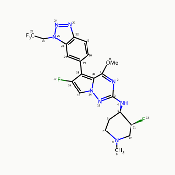 COc1nc(N[C@@H]2CCN(C)C[C@@H]2F)nn2cc(F)c(-c3ccc4nnn(CC(F)(F)F)c4c3)c12